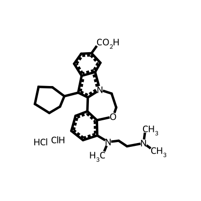 CN(C)CCN(C)c1cccc2c1OCCn1c-2c(C2CCCCC2)c2ccc(C(=O)O)cc21.Cl.Cl